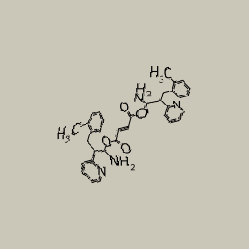 Cc1ccccc1CC(c1ccccn1)C(N)OC(=O)/C=C/C(=O)OC(N)C(Cc1ccccc1C)c1ccccn1